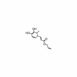 C=CCOC(=O)/C=C/C1C=CC(O)=C(O)C1C